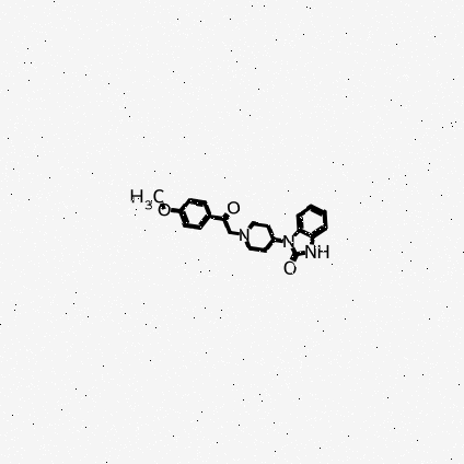 COc1ccc(C(=O)CN2CCC(n3c(=O)[nH]c4ccccc43)CC2)cc1